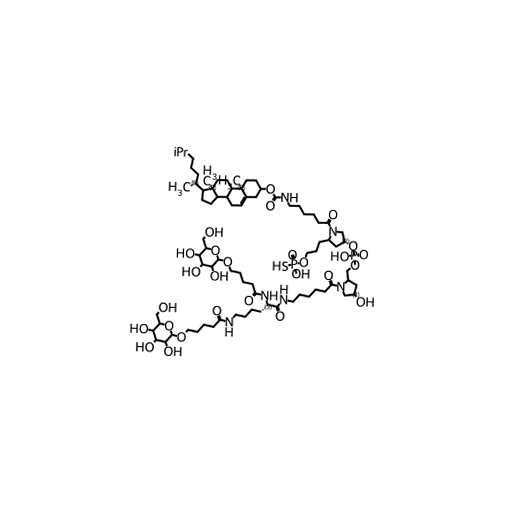 CC(C)CCC[C@@H](C)C1CCC2C3CC=C4CC(OC(=O)NCCCCCC(=O)N5C[C@H](OP(=O)(O)OCC6C[C@@H](O)CN6C(=O)CCCCCNC(=O)[C@H](CCCCNC(=O)CCCCOC6OC(CO)C(O)C(O)C6O)NC(=O)CCCCOC6OC(CO)C(O)C(O)C6O)CC5CCCOP(=O)(O)S)CC[C@]4(C)C3CC[C@@]21C